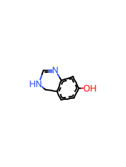 Oc1ccc2c(c1)N=CNC2